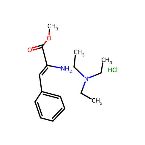 CCN(CC)CC.COC(=O)C(N)=Cc1ccccc1.Cl